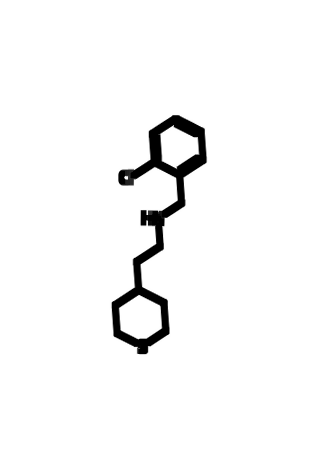 Clc1ccccc1CNCCC1CCSCC1